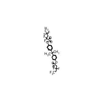 CC(F)(F)CC(F)(F)S(=O)(=O)Oc1ccc(C(C)(C)c2ccc(OS(=O)(=O)CC(F)(F)CC(F)(F)F)cc2)cc1